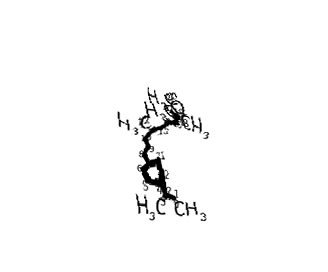 CCC(C)c1ccc(CCCC(C)CCCC(C)(C)OC)cc1